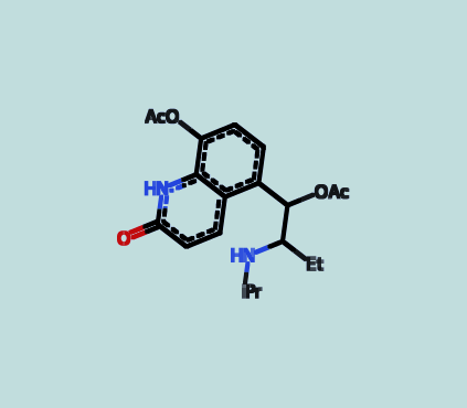 CCC(NC(C)C)C(OC(C)=O)c1ccc(OC(C)=O)c2[nH]c(=O)ccc12